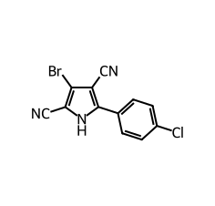 N#Cc1[nH]c(-c2ccc(Cl)cc2)c(C#N)c1Br